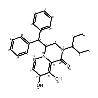 CCC(CC)N1CC(C(c2ccccc2)c2ccccc2)N2N=CC(O)C(O)=C2C1=O